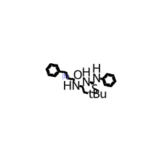 CC(C)(C)CC(NC(=O)/C=C/c1ccccc1)NC(=S)Nc1ccccc1